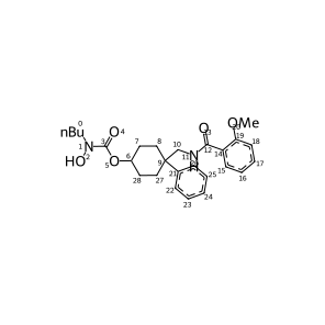 CCCCN(O)C(=O)OC1CCC(CNC(=O)c2ccccc2OC)(c2ccccc2)CC1